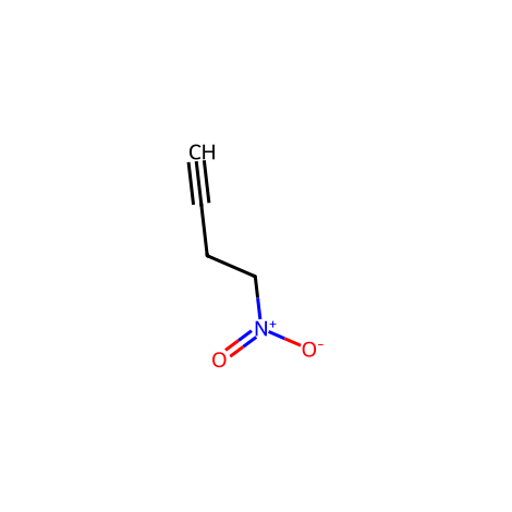 C#CCC[N+](=O)[O-]